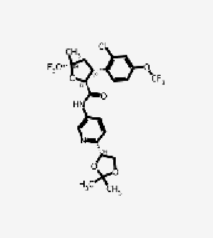 CC1(C)OC[C@@H](c2ccc(NC(=O)[C@H]3O[C@](C)(C(F)(F)F)C[C@@H]3c3ccc(OC(F)(F)F)cc3Cl)cn2)O1